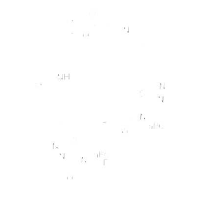 CCCCN(C(=O)c1ccccc1F)c1nnc(-c2ccc(C(=O)NCCCC(=O)OC(=O)C3CN(Cc4ccc(-c5nnc(N(CCCC)C(=O)c6ccccc6F)s5)c(C)c4)C3)cc2)s1